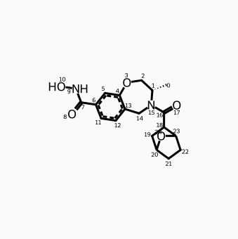 C[C@H]1COc2cc(C(=O)NO)ccc2CN1C(=O)C1CC2CCC1O2